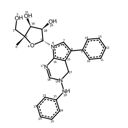 C[C@]1(CO)O[C@@H](n2cc(-c3ccccc3)c3c2N=CN(Nc2ccccc2)C3)[C@H](O)[C@@H]1O